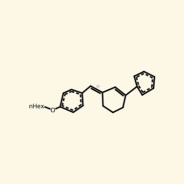 CCCCCCOc1ccc(/C=C2/C=C(c3ccccc3)CCC2)cc1